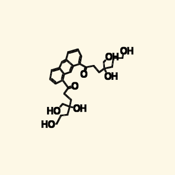 O=C(CCC(O)(CO)CCCO)c1cccc2cc3cccc(C(=O)CCC(O)(CO)CCCO)c3cc12